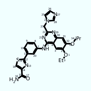 CCOc1cc2c(Nc3cccc(-c4nc(C(N)=O)cs4)c3)nc(Cn3ccnc3)nc2cc1OC(C)C